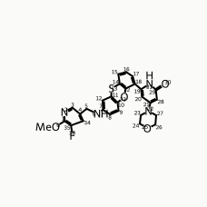 COc1ncc(CNc2ccc3c(c2)Sc2cccc(-c4cc(N5CCOCC5)cc(=O)[nH]4)c2O3)cc1F